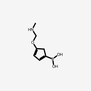 CNCOC1=CC=C(B(O)O)C1